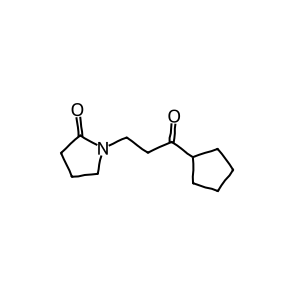 O=C(CCN1CCCC1=O)C1CCCC1